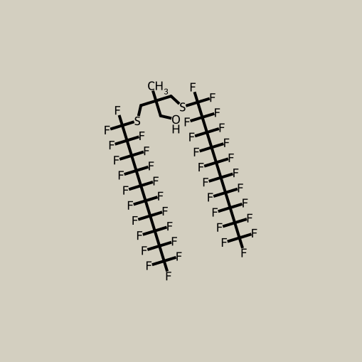 CC(CO)(CSC(F)(F)C(F)(F)C(F)(F)C(F)(F)C(F)(F)C(F)(F)C(F)(F)C(F)(F)C(F)(F)C(F)(F)F)CSC(F)(F)C(F)(F)C(F)(F)C(F)(F)C(F)(F)C(F)(F)C(F)(F)C(F)(F)C(F)(F)C(F)(F)F